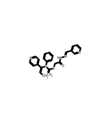 C=C(SCC(=O)N/N=C/c1cccnc1)N(/C(=C\C)c1ccncc1)c1ccccc1